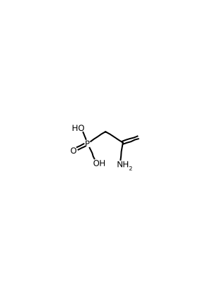 C=C(N)CP(=O)(O)O